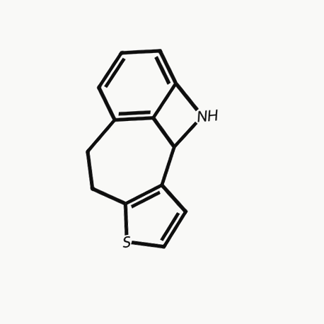 c1cc2c3c(c1)NC3c1ccsc1CC2